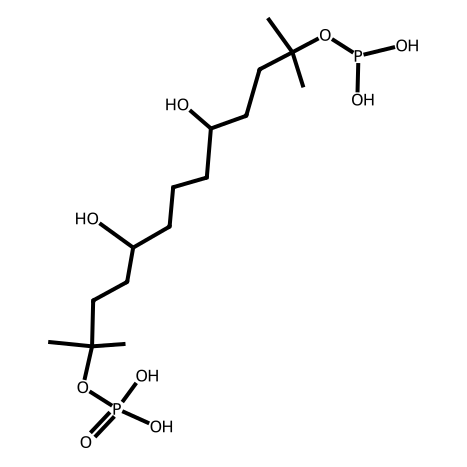 CC(C)(CCC(O)CCCC(O)CCC(C)(C)OP(=O)(O)O)OP(O)O